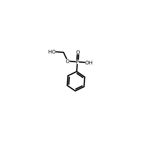 O=P(O)(OCO)c1ccccc1